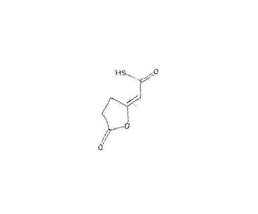 O=C(S)/C=C1\CCC(=O)O1